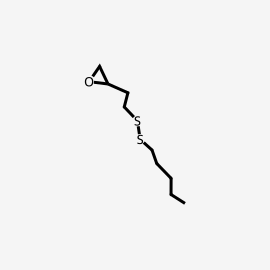 CCCCCSSCCC1CO1